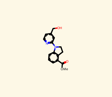 COC(=O)c1cccc2c1CCN2c1cc(CO)ccn1